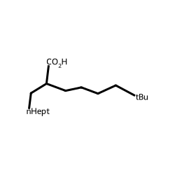 CCCCCCCCC(CCCCC(C)(C)C)C(=O)O